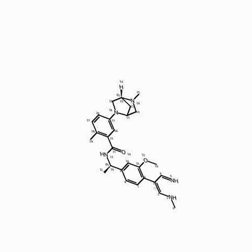 CN/C=C(\C=N)c1ccc([C@@H](C)NC(=O)c2cc(N3C[C@H]4CC3CN4C)ccc2C)cc1OC